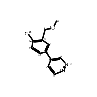 COCc1cc(-c2ccnnc2)ccc1Cl